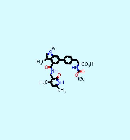 Cc1cc(C)c(CNC(=O)c2cc(-c3ccc(C[C@H](NC(=O)OC(C)(C)C)C(=O)O)cc3)cc3c2c(C)cn3C(C)C)c(=O)[nH]1